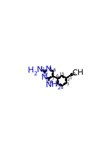 C#Cc1cccc(-c2cnc(N)nc2N)c1